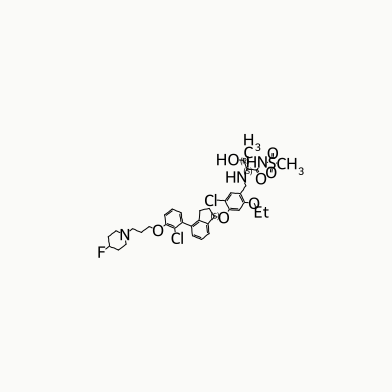 CCOc1cc(O[C@H]2CCc3c(-c4cccc(OCCCN5CCC(F)CC5)c4Cl)cccc32)c(Cl)cc1CN[C@H](C(=O)NS(C)(=O)=O)[C@@H](C)O